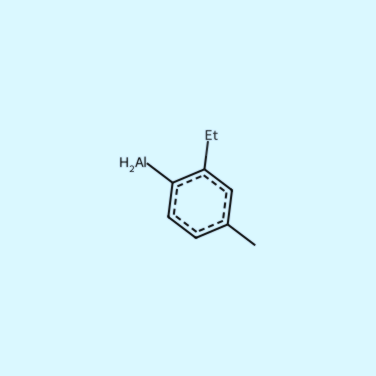 CCc1cc(C)cc[c]1[AlH2]